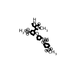 Cn1cc(-c2cc(S(C)(=O)=O)ccc2Oc2cccc(NS(=O)(=O)c3ccc(S(C)(=O)=O)cc3)c2)c2cc[nH]c2c1=O